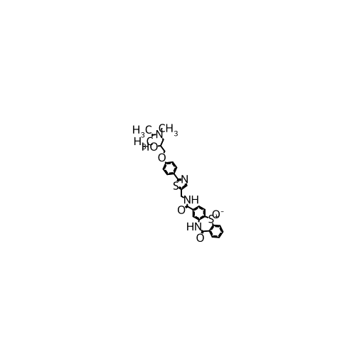 CC(C)N(C)CC(O)COc1ccc(-c2ncc(CNC(=O)c3ccc4c(c3)NC(=O)c3ccccc3[S+]4[O-])s2)cc1